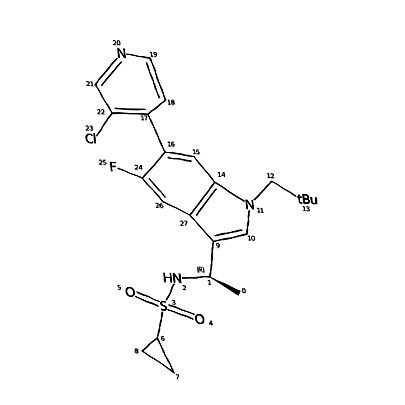 C[C@@H](NS(=O)(=O)C1CC1)c1cn(CC(C)(C)C)c2cc(-c3ccncc3Cl)c(F)cc12